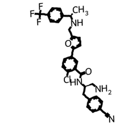 C[C@@H](NCc1ccc(-c2ccc(Cl)c(C(=O)N[C@@H](CN)Cc3ccc(C#N)cc3)c2)o1)c1ccc(C(F)(F)F)cc1